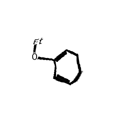 CCOC1=CC[CH]C=C1